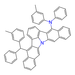 Cc1cccc(C(c2ccccc2)c2c3ccccc3cc3c2c2cccc4c5c(N(c6ccccc6)c6cccc(C)c6)c6ccccc6cc5n3c24)c1